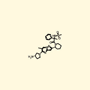 Cc1cn2nc([C@@H]3CCCCN3C(=O)C(C)(NS(C)(=O)=O)c3ccccc3)cc2nc1N1CC[C@H](N)C1